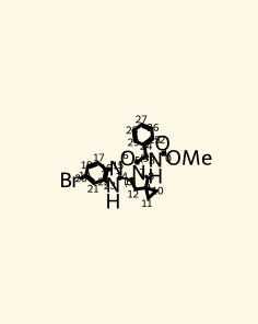 COC(=O)N[C@H](C(=O)N1CC2(CC2)C[C@H]1c1nc2ccc(Br)cc2[nH]1)c1ccccc1